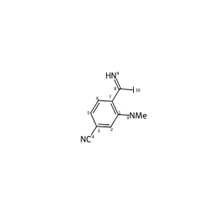 CNc1cc(C#N)ccc1C(=N)I